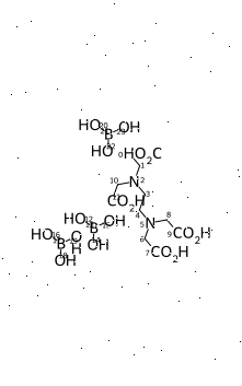 O=C(O)CN(CCN(CC(=O)O)CC(=O)O)CC(=O)O.OB(O)O.OB(O)O.OB(O)O